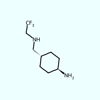 N[C@H]1CC[C@H](CNCC(F)(F)F)CC1